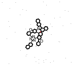 c1ccc(-c2cc3c(cc2-n2c4cc5ccccc5cc4c4c5ccccc5ccc42)oc2cccc(-c4nc(-c5ccc6ccccc6c5)nc(-c5cccc6oc7ccccc7c56)n4)c23)cc1